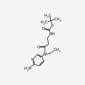 CCN(C(=O)CCNC(=O)OC(C)(C)C)c1ccc(N)nc1